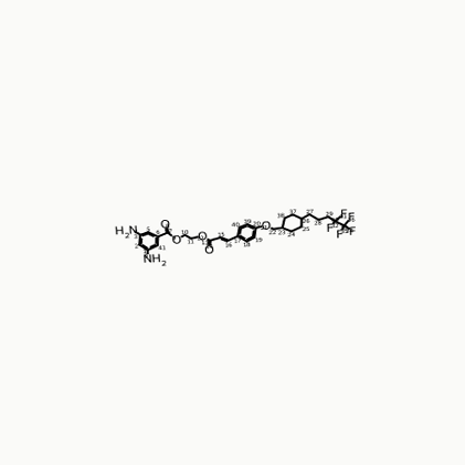 Nc1cc(N)cc(C(=O)OCCOC(=O)/C=C/c2ccc(OCC3CCC(CCCC(F)(F)C(F)(F)F)CC3)cc2)c1